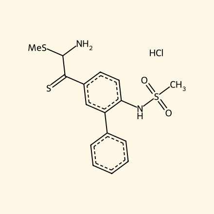 CSC(N)C(=S)c1ccc(NS(C)(=O)=O)c(-c2ccccc2)c1.Cl